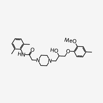 COc1cc(C)ccc1OCC(O)CN1CCN(CC(=O)Nc2c(C)cccc2C)CC1